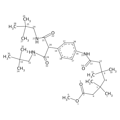 COC(=O)CC(C)(C)CC(C)(C)CC(=O)Nc1ccc(C(C(=O)NCC(C)(C)C)C(=O)NCC(C)(C)C)cc1